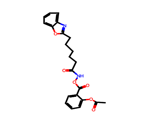 CC(=O)Oc1ccccc1C(=O)ONC(=O)CCCCCc1nc2ccccc2o1